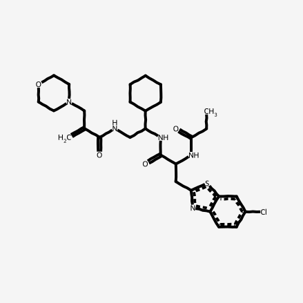 C=C(CN1CCOCC1)C(=O)NCC(NC(=O)C(Cc1nc2ccc(Cl)cc2s1)NC(=O)CC)C1CCCCC1